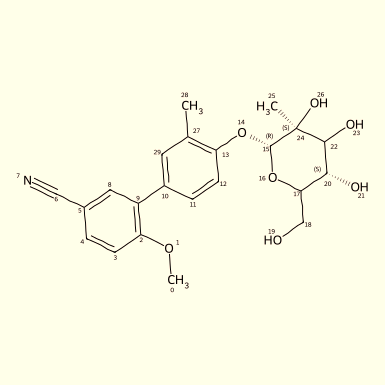 COc1ccc(C#N)cc1-c1ccc(O[C@H]2OC(CO)[C@@H](O)C(O)[C@]2(C)O)c(C)c1